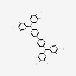 Oc1cc(C(c2ccc(-c3ccc(C(c4cc(O)c(O)c(O)c4)c4cc(O)c(O)c(O)c4)cc3)cc2)c2cc(O)c(O)c(O)c2)cc(O)c1O